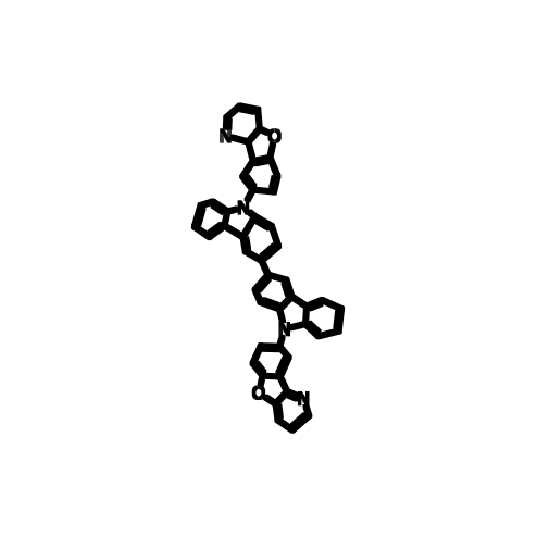 C1=CC2Oc3ccc(-n4c5ccccc5c5cc(-c6ccc7c(c6)c6ccccc6n7-c6ccc7oc8cccnc8c7c6)ccc54)cc3C2N=C1